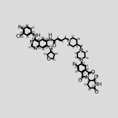 O=C(/C=C/CN1CCC(CN2CCN(c3cc4c(cc3F)C(=O)N(C3CCC(=O)NC3=O)C4=O)CC2)CC1)Nc1cc2c(Nc3ccc(F)c(Cl)c3)ncnc2cc1OC1CCOC1